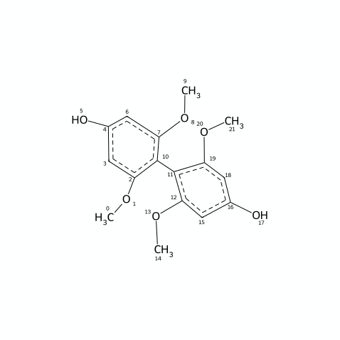 COc1cc(O)cc(OC)c1-c1c(OC)cc(O)cc1OC